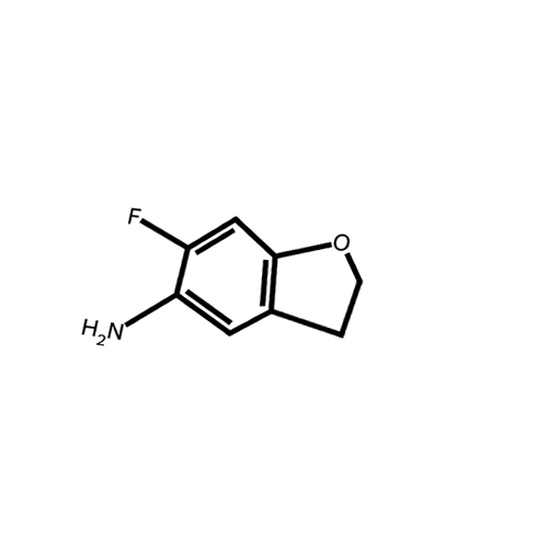 Nc1cc2c(cc1F)OCC2